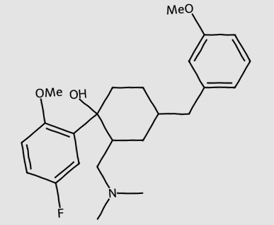 COc1cccc(CC2CCC(O)(c3cc(F)ccc3OC)C(CN(C)C)C2)c1